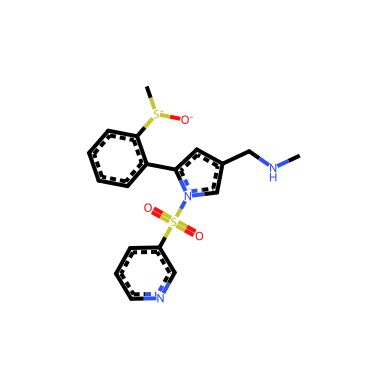 CNCc1cc(-c2ccccc2[S+](C)[O-])n(S(=O)(=O)c2cccnc2)c1